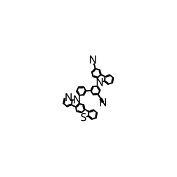 N#Cc1cc(-c2cccc(-n3c4cc5c(cc4c4cccnc43)sc3ccccc35)c2)cc(-n2c3ccccc3c3cc(C#N)ccc32)c1